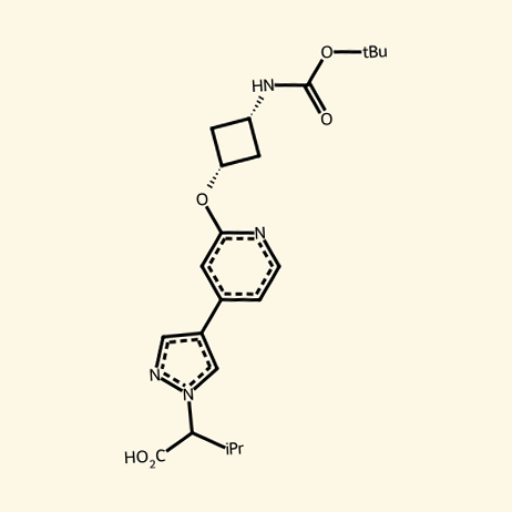 CC(C)C(C(=O)O)n1cc(-c2ccnc(O[C@H]3C[C@@H](NC(=O)OC(C)(C)C)C3)c2)cn1